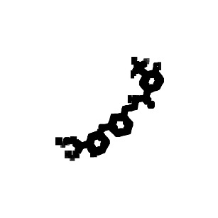 C/N=C(\N)c1cc(Oc2cccc(CCNC(=O)c3ccc(Cl)c(C(F)(F)F)c3)c2)ccn1